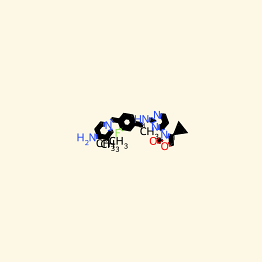 C[C@H](Nc1nccc(N2C(=O)OC[C@@H]2C2CC2)n1)c1ccc(CN2CCC(C)(N)C(C)(C)C2)c(F)c1